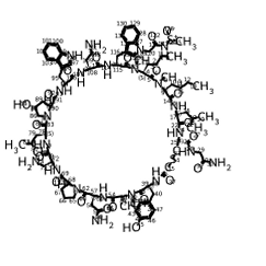 CCCC[C@H]1C(=O)N(C)[C@@H](CCCC)C(=O)N[C@@H](CC(C)C)C(=O)N[C@H](C(=O)NCC(N)=O)CSCC(=O)N[C@@H](Cc2ccc(O)cc2)C(=O)N(C)[C@@H](C)C(=O)N[C@@H](CC(N)=O)C(=O)N2CCC[C@H]2C(=O)N[C@@H](CN)C(=O)N[C@@H](CC(C)C)C(=O)N2C[C@H](O)C[C@H]2C(=O)N[C@@H](Cc2c[nH]c3ccccc23)C(=O)N[C@@H](CCN)C(=O)N[C@@H](Cc2cn(CC(=O)N[S+](C)[O-])c3ccccc23)C(=O)N1C